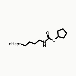 CCCCCCCCCCCNC(=O)OC1CCCC1